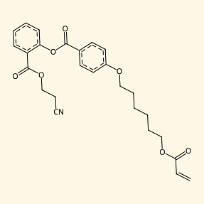 C=CC(=O)OCCCCCCOc1ccc(C(=O)Oc2ccccc2C(=O)OCCC#N)cc1